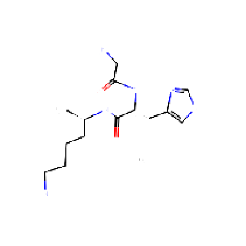 NCCCC[C@H](NC(=O)[C@@H](Cc1c[nH]cn1)NC(=O)CN)C(=O)O.[Mn]